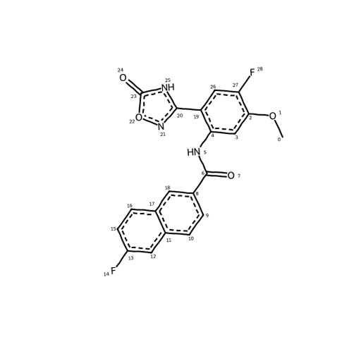 COc1cc(NC(=O)c2ccc3cc(F)ccc3c2)c(-c2noc(=O)[nH]2)cc1F